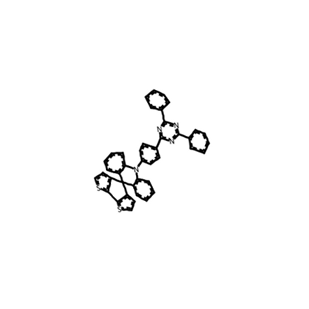 c1ccc(-c2nc(-c3ccccc3)nc(-c3ccc(N4c5ccccc5C5(c6ccccc64)c4ccsc4-c4sccc45)cc3)n2)cc1